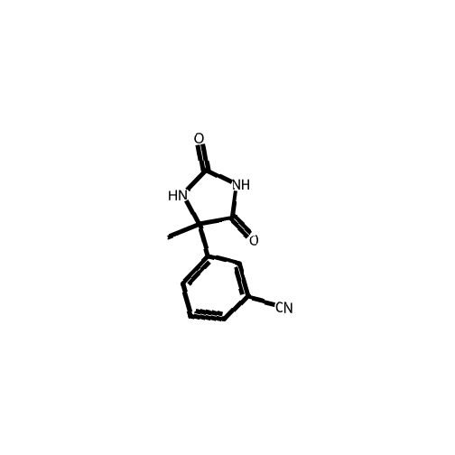 CC1(c2cccc(C#N)c2)NC(=O)NC1=O